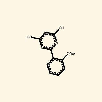 COc1ccccc1-c1nc(O)cc(O)n1